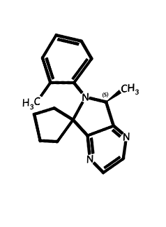 Cc1ccccc1N1[C@@H](C)c2nccnc2C12CCCC2